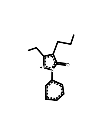 CCCc1c(CC)[nH]n(-c2ccccc2)c1=O